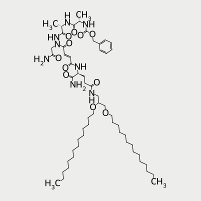 CCCCCCCCCCCCCCOCC(CNC(=O)CC[C@H](NC(=O)/C=C/C(=O)N(CC(N)=O)NC(=O)[C@H](C)NC(=O)[C@H](C)NC(=O)OCc1ccccc1)C(N)=O)OCCCCCCCCCCCCCC